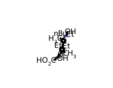 CCCCC(O)(/C=C/c1ccc(C(CC)(CC)c2ccc(OC[C@@H](O)CCC(=O)O)c(C)c2)cc1C)CC